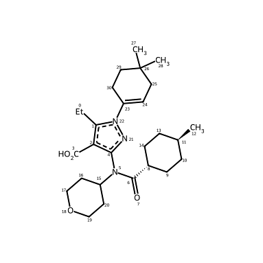 CCc1c(C(=O)O)c(N(C(=O)[C@H]2CC[C@H](C)CC2)C2CCOCC2)nn1C1=CCC(C)(C)CC1